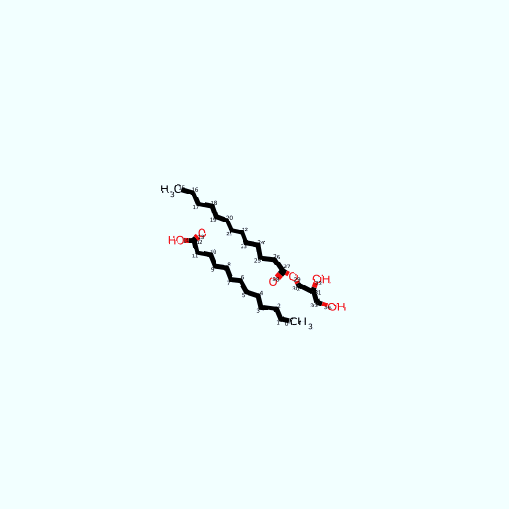 CCCCCCCCCCCCC(=O)O.CCCCCCCCCCCCC(=O)OCC(O)CO